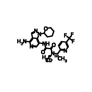 C[C@@H](c1ccc(C(F)(F)F)cn1)N(C)C(=O)C(=O)Nc1cnc(N)c2cnn(C3CCCCO3)c12.[Cu]